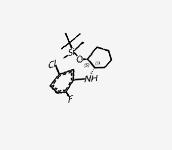 CC(C)(C)[Si](C)(C)O[C@H]1CCCC[C@@H]1Nc1cc(Cl)ccc1F